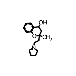 CC1(CCN2CCCC2)CC(O)c2ccccc2O1